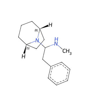 CNC(Cc1ccccc1)N1[C@@H]2CCC[C@H]1CC2